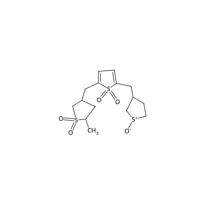 CC1CC(CC2=CC=C(CC3CC[S+]([O-])C3)S2(=O)=O)CS1(=O)=O